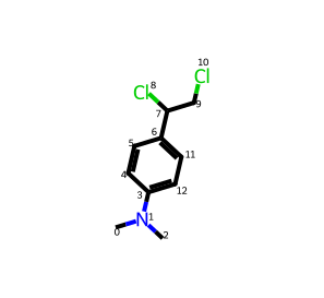 CN(C)c1ccc(C(Cl)CCl)cc1